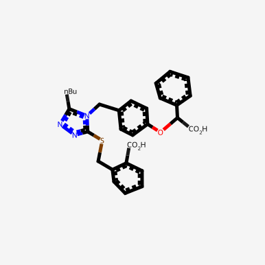 CCCCc1nnc(SCc2ccccc2C(=O)O)n1Cc1ccc(OC(C(=O)O)c2ccccc2)cc1